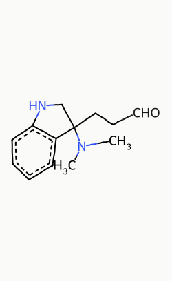 CN(C)C1(CCC=O)CNc2ccccc21